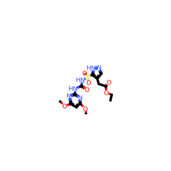 CCOC(=O)Cc1cn[nH]c1S(=O)(=O)NC(=O)Nc1nc(OC)cc(OC)n1